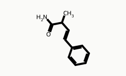 CC(C=Cc1ccccc1)C(N)=O